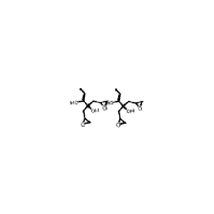 CC=C(O)C(O)(CC1CO1)CC1CO1.CC=C(O)C(O)(CC1CO1)CC1CO1